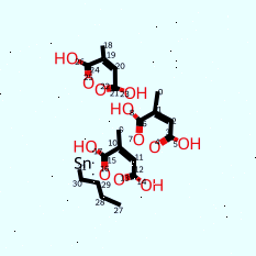 C/C(=C/C(=O)O)C(=O)O.C/C(=C/C(=O)O)C(=O)O.C/C(=C/C(=O)O)C(=O)O.CCC[CH2][Sn]